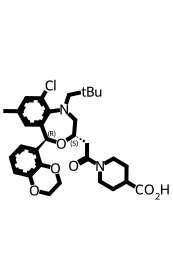 Cc1cc(Cl)c2c(c1)[C@H](c1cccc3c1OCCO3)O[C@@H](CC(=O)N1CCC(C(=O)O)CC1)CN2CC(C)(C)C